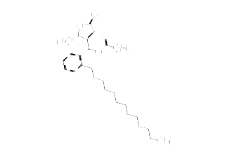 CCCCCCCCCCCCCc1ccccc1C(OC(C)=O)C1=CC(=O)OC1O